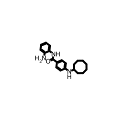 Nc1ccccc1NC(=O)c1ccc(NC2CCCCCCC2)cc1